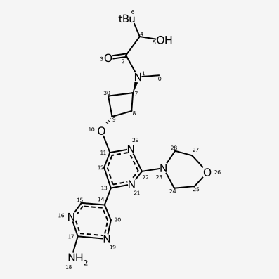 CN(C(=O)C(O)C(C)(C)C)[C@H]1C[C@H](Oc2cc(-c3cnc(N)nc3)nc(N3CCOCC3)n2)C1